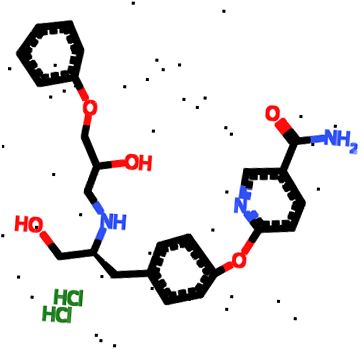 Cl.Cl.NC(=O)c1ccc(Oc2ccc(C[C@@H](CO)NCC(O)COc3ccccc3)cc2)nc1